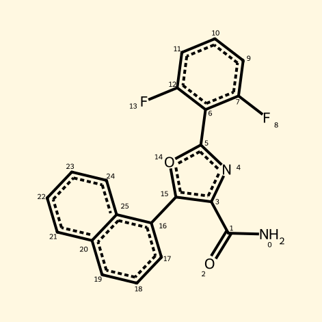 NC(=O)c1nc(-c2c(F)cccc2F)oc1-c1cccc2ccccc12